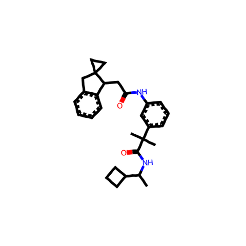 CC(NC(=O)C(C)(C)c1cccc(NC(=O)CC2c3ccccc3CC23CC3)c1)C1CCC1